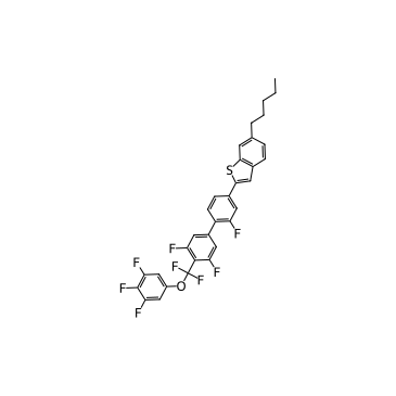 CCCCCc1ccc2cc(-c3ccc(-c4cc(F)c(C(F)(F)Oc5cc(F)c(F)c(F)c5)c(F)c4)c(F)c3)sc2c1